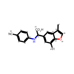 CCc1cc(C(Nc2ccc(C#N)cc2)C(=O)O)cc2c(C)coc12